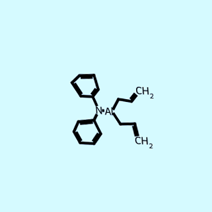 C=C[CH2][Al]([CH2]C=C)[N](c1ccccc1)c1ccccc1